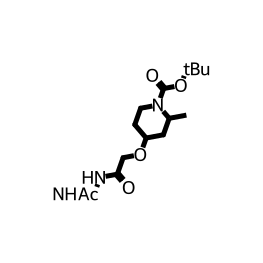 CC(=O)NNC(=O)COC1CCN(C(=O)OC(C)(C)C)C(C)C1